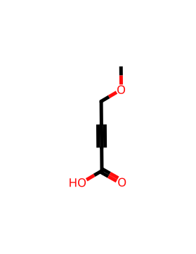 COCC#CC(=O)O